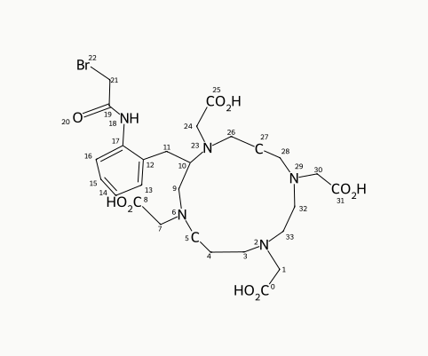 O=C(O)CN1CCCN(CC(=O)O)CC(Cc2ccccc2NC(=O)CBr)N(CC(=O)O)CCCN(CC(=O)O)CC1